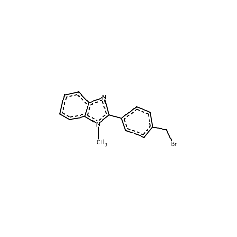 Cn1c(-c2ccc(CBr)cc2)nc2ccccc21